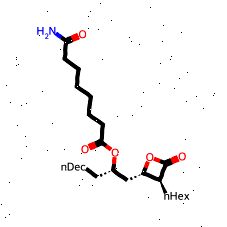 CCCCCCCCCCC[C@@H](C[C@@H]1OC(=O)[C@H]1CCCCCC)OC(=O)CCCCCCC(N)=O